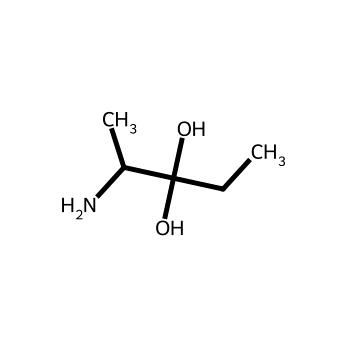 CCC(O)(O)C(C)N